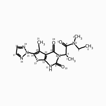 CCN(C)C(=O)[C@@H](C)n1c(=O)[nH]c2sc(-n3nccn3)c(C)c2c1=O